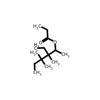 CCC(=O)OC(C)C(C)(CC)C(C)(C)CC